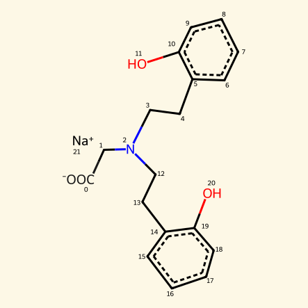 O=C([O-])CN(CCc1ccccc1O)CCc1ccccc1O.[Na+]